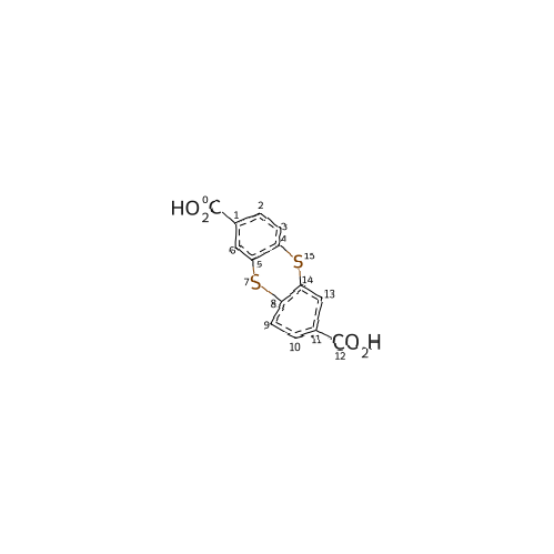 O=C(O)c1ccc2c(c1)Sc1ccc(C(=O)O)cc1S2